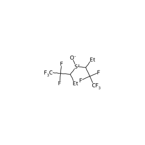 CCC([S+]([O-])C(CC)C(F)(F)C(F)(F)F)C(F)(F)C(F)(F)F